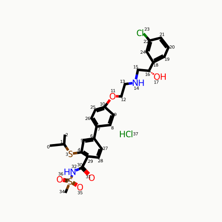 CC(C)Sc1cc(-c2ccc(OCCNC[C@@H](O)c3cccc(Cl)c3)cc2)ccc1C(=O)NS(C)(=O)=O.Cl